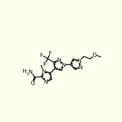 COCCn1cc(-n2cc(-c3cnc(C(N)=O)n3C)c(C(F)(F)F)n2)cn1